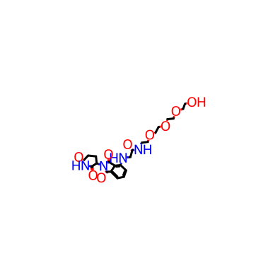 O=C(CNc1cccc2c1C(=O)N(C1CCC(=O)NC1=O)C2=O)NCCOCCOCCOCCO